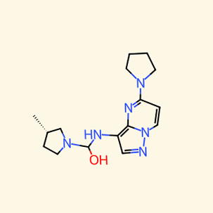 C[C@H]1CCN(C(O)Nc2cnn3ccc(N4CCCC4)nc23)C1